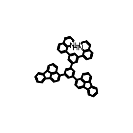 C1=Cc2cccc(-c3cc(-c4cc(-c5ccc6c7c(cccc57)-c5ccccc5-6)cc(-c5ccc6c7c(cccc57)-c5ccccc5-6)c4)cc(-c4cccc5c4NCC=C5)c3)c2NC1